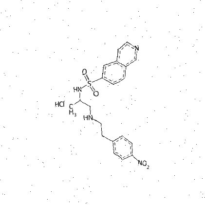 CC(CNCCc1ccc([N+](=O)[O-])cc1)NS(=O)(=O)c1ccc2cnccc2c1.Cl